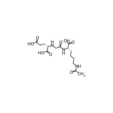 CC(=O)NCCCC[C@H](NC(=O)CN[C@@H](CCC(=O)O)C(=O)O)C(=O)O